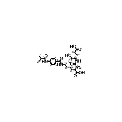 CC(F)C(=O)Nc1ccc(C(=O)NCCCCC(C(=O)O)N(C)C(=O)N[C@@H](CCC(=O)O)C(=O)O)cc1